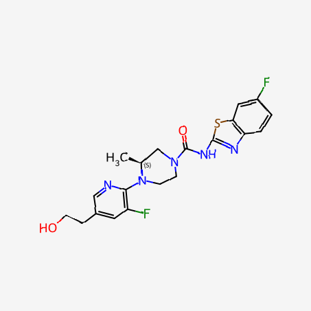 C[C@H]1CN(C(=O)Nc2nc3ccc(F)cc3s2)CCN1c1ncc(CCO)cc1F